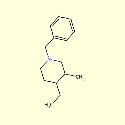 CCC1CCN(Cc2ccccc2)CC1C